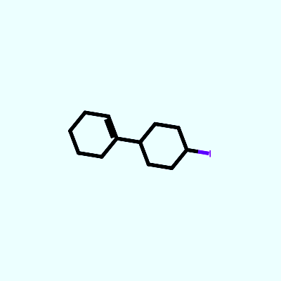 IC1CCC(C2=CCCCC2)CC1